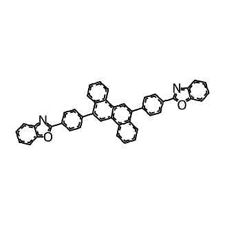 c1ccc2oc(-c3ccc(-c4cc5c6ccccc6c(-c6ccc(-c7nc8ccccc8o7)cc6)cc5c5ccccc45)cc3)nc2c1